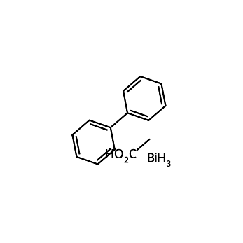 CC(=O)O.[BiH3].c1ccc(-c2ccccc2)cc1